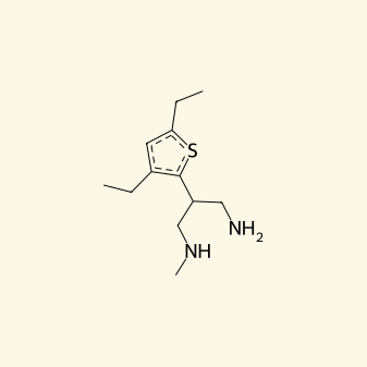 CCc1cc(CC)c(C(CN)CNC)s1